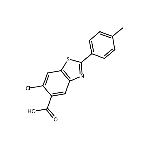 Cc1ccc(-c2nc3cc(C(=O)O)c(Cl)cc3s2)cc1